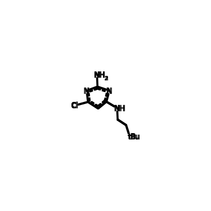 CC(C)(C)CCNc1cc(Cl)nc(N)n1